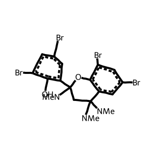 CNC1(NC)CC(NC)(c2cc(Br)cc(Br)c2O)Oc2c(Br)cc(Br)cc21